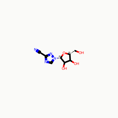 N#Cc1ncn([C@@H]2O[C@H](CO)C(O)C2O)n1